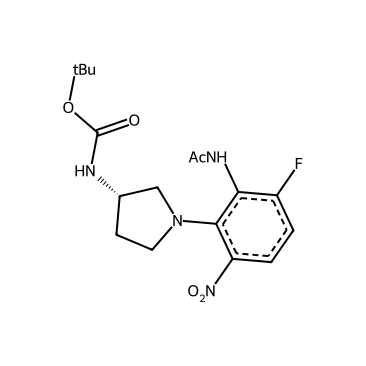 CC(=O)Nc1c(F)ccc([N+](=O)[O-])c1N1CC[C@H](NC(=O)OC(C)(C)C)C1